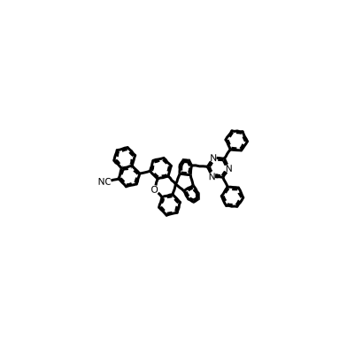 N#Cc1ccc(-c2cccc3c2Oc2ccccc2C32c3ccccc3-c3c(-c4nc(-c5ccccc5)nc(-c5ccccc5)n4)cccc32)c2ccccc12